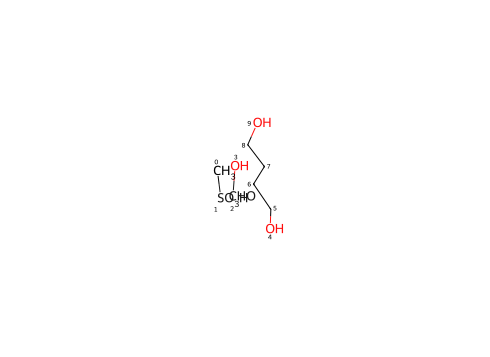 CS(=O)(=O)O.O=CO.OCCCCO